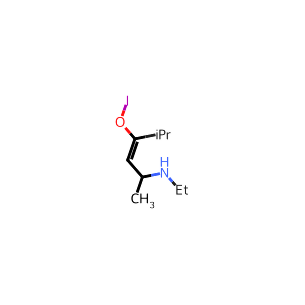 CCNC(C)/C=C(/OI)C(C)C